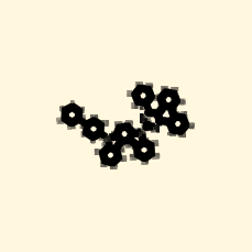 c1ccc(-c2ccc(-n3c4ccccc4c4c5c6ccccc6n(-c6nc(-c7ccccc7)c7c8ccccc8c8ccccc8c7n6)c5ccc43)cc2)cc1